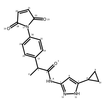 CC(C(=O)Nc1cc(C2CC2)[nH]n1)c1ccc(N2C(=O)C=CC2=O)cc1